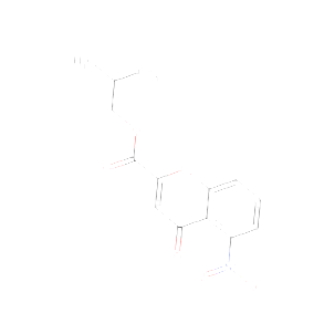 CC(C)COC(=O)c1cc(=O)c2c([N+](=O)[O-])cccc2o1